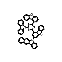 c1ccc2cc3c(cc2c1)c1ccccc1n3-c1cc(-c2nc(-c3cccc4oc5ccccc5c34)nc(-n3c4ccccc4c4ccccc43)n2)c2c(c1)oc1ccccc12